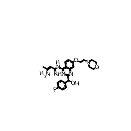 C/C(N)=C/C(=N)Nc1nc(C(O)c2ccc(F)cc2)nc2cc(OCCN3CCOCC3)ccc12